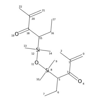 C=C(C)C(=O)C(CC)[Si](C)(C)O[Si](C)(C)C(CC)C(=O)C(=C)C